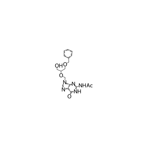 CC(=O)Nc1nc2c(ncn2COC(CO)COCc2ccccc2)c(=O)[nH]1